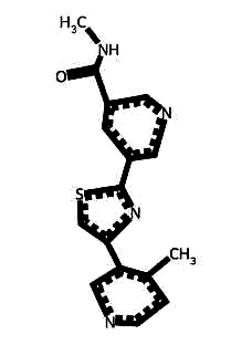 CNC(=O)c1cncc(-c2nc(-c3cnccc3C)cs2)c1